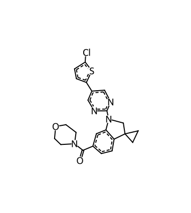 O=C(c1ccc2c(c1)N(c1ncc(-c3ccc(Cl)s3)cn1)CC21CC1)N1CCOCC1